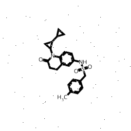 Cc1ccc(CS(=O)(=O)Nc2ccc3c(c2)CCC(=O)N3C2CC2C2CC2)cc1